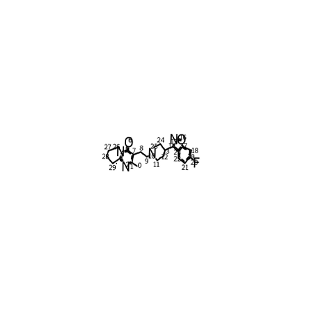 Cc1nc2n(c(=O)c1CCN1CCC(c3noc4cc(F)ccc34)CC1)CCC[CH]2